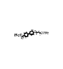 COCCCOc1ccc(-c2ccc(C(=O)OC)cc2)cc1